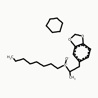 C1CCCCC1.CCCCCCCC[S+]([O-])C(C)Cc1ccc2c(c1)OCO2